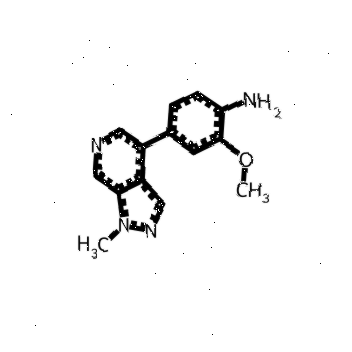 COc1cc(-c2cncc3c2cnn3C)ccc1N